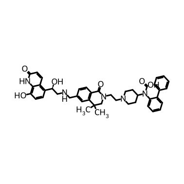 CC1(C)CN(CCN2CCC(N(C(=O)O)c3ccccc3-c3ccccc3)CC2)C(=O)c2ccc(CNC[C@H](O)c3ccc(O)c4[nH]c(=O)ccc34)cc21